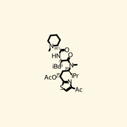 CC[C@H](C)[C@H](NC(=O)[C@H]1CCCCN1C)C(=O)N(C)[C@H](C[C@@H](OC(C)=O)c1nc(C(C)=O)cs1)C(C)C